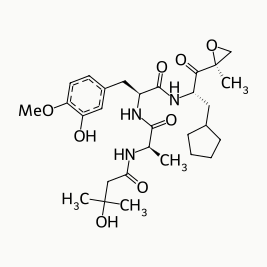 COc1ccc(C[C@H](NC(=O)[C@@H](C)NC(=O)CC(C)(C)O)C(=O)N[C@@H](CC2CCCC2)C(=O)[C@]2(C)CO2)cc1O